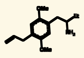 C=CCc1cc(OC)c(CC(N)CC)cc1OC